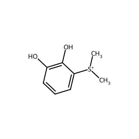 C[S+](C)c1cccc(O)c1O